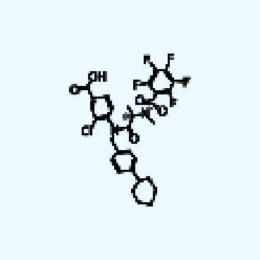 C[C@H](C(=O)N(Cc1ccc(C2CCCCC2)cc1)c1ccc(C(=O)O)cc1Cl)N(C)S(=O)(=O)c1c(F)c(F)c(F)c(F)c1F